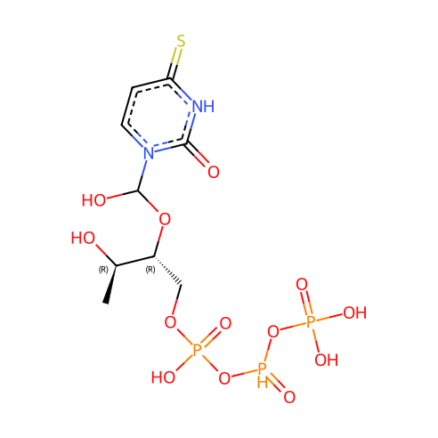 C[C@@H](O)[C@@H](COP(=O)(O)O[PH](=O)OP(=O)(O)O)OC(O)n1ccc(=S)[nH]c1=O